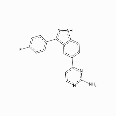 Nc1nccc(-c2ccc3[nH]nc(-c4ccc(F)cc4)c3c2)n1